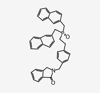 O=C1c2ccccc2CN1Cc1ccc(CCP(=O)(Cc2ccc3ccccc3c2)Cc2ccc3ccccc3c2)cc1